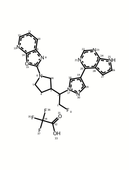 FCC(C1CCN(c2nc3cccnc3o2)C1)n1cc(-c2ncnc3[nH]ccc23)cn1.O=C(O)C(F)(F)F